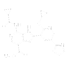 COC(=O)c1cnc(NC(=O)C2CC2)c2[nH]c(-c3cc(-c4nccs4)cnc3OC3CC3)cc12